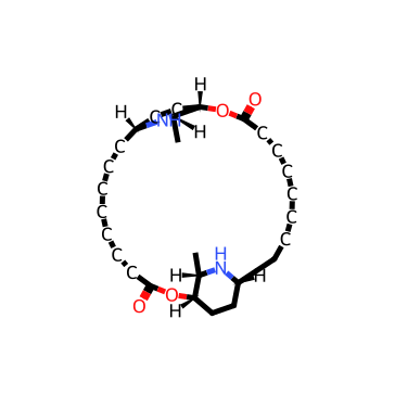 C[C@@H]1N[C@@H]2CCCCCCCC(=O)O[C@H]3CC[C@@H](CCCCCCCC(=O)O[C@H]1CC2)N[C@H]3C